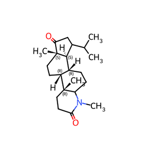 CC(C)C1CC(=O)[C@@]2(C)CC[C@@H]3[C@@H](CCC4N(C)C(=O)CC[C@@]43C)[C@H]12